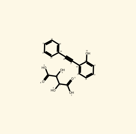 O=C(O)C(O)C(O)C(=O)O.Oc1ccccc1C#Cc1ccccc1